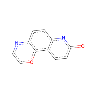 O=c1ccc2c(ccc3nccoc32)n1